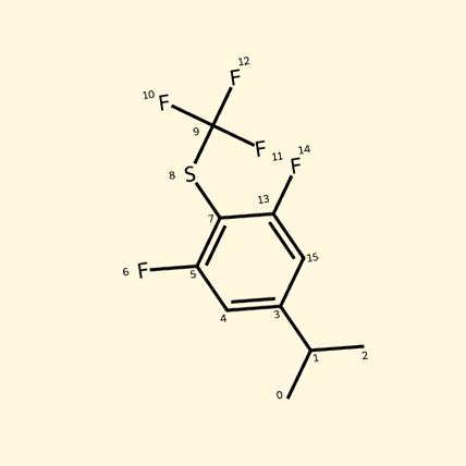 CC(C)c1cc(F)c(SC(F)(F)F)c(F)c1